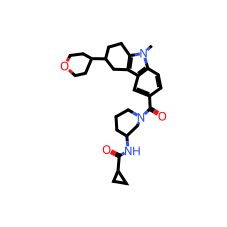 Cn1c2c(c3cc(C(=O)N4CCCC(NC(=O)C5CC5)C4)ccc31)CC(C1CCOCC1)CC2